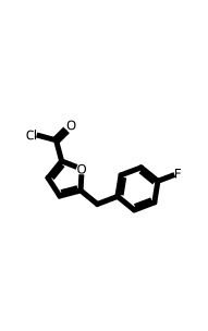 O=C(Cl)c1ccc(Cc2ccc(F)cc2)o1